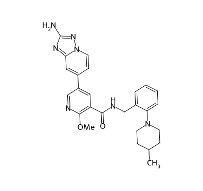 COc1ncc(-c2ccn3nc(N)nc3c2)cc1C(=O)NCc1ccccc1N1CCC(C)CC1